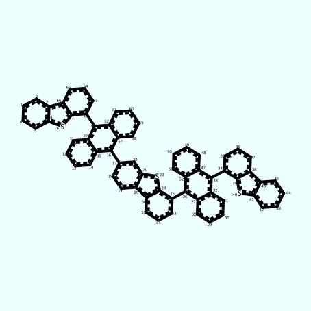 c1ccc2c(c1)sc1c(-c3c4ccccc4c(-c4ccc5c(c4)sc4c(-c6c7ccccc7c(-c7cccc8c7sc7ccccc78)c7ccccc67)cccc45)c4ccccc34)cccc12